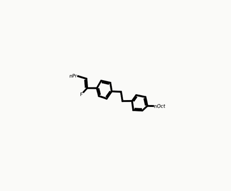 CCCC=C(F)c1ccc(CCc2ccc(CCCCCCCC)cc2)cc1